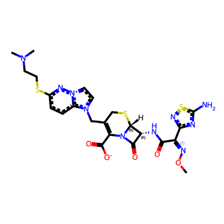 CO/N=C(\C(=O)N[C@@H]1C(=O)N2C(C(=O)[O-])=C(Cn3cc[n+]4nc(SCCN(C)C)ccc34)CS[C@H]12)c1nsc(N)n1